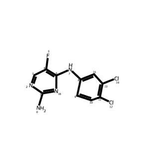 Nc1ncc(F)c(Nc2ccc(Cl)c(Cl)c2)n1